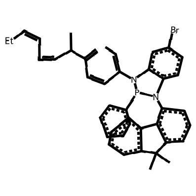 C=C(/C=C\C(=C/C)N1c2cc(Br)ccc2N(c2cccc3c2-c2ccccc2C3(C)C)P1c1ccccc1)C(C)/C=C\C=C/CC